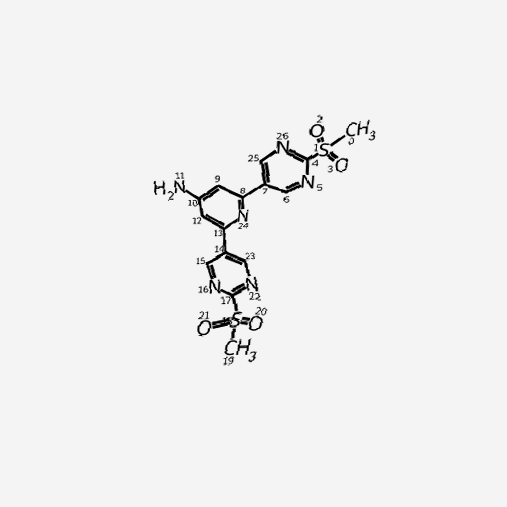 CS(=O)(=O)c1ncc(-c2cc(N)cc(-c3cnc(S(C)(=O)=O)nc3)n2)cn1